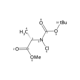 COC(=O)[C@H](C)N(Cl)C(=O)OC(C)(C)C